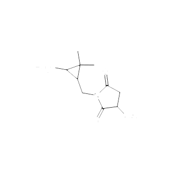 CC(=O)OC1CC(=O)N(CC2C(C(=O)O)C2(C)C)C1=O